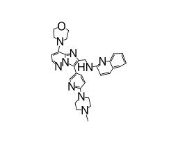 CN1CCN(c2ccc(-c3c(CNc4ccc5ccccc5n4)nc4c(N5CCOCC5)ccnn34)cn2)CC1